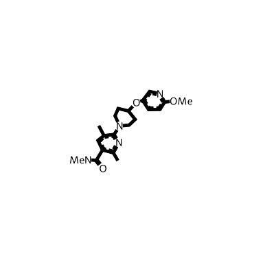 CNC(=O)c1cc(C)c(N2CCC(Oc3ccc(OC)nc3)CC2)nc1C